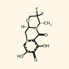 C[C@@H]1N2C(=O)c3c(O)c(=O)c(O)cn3C[C@H]2OCC1(F)F